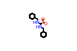 O=S(=O)=C(NCc1ccccc1)NCc1ccccc1